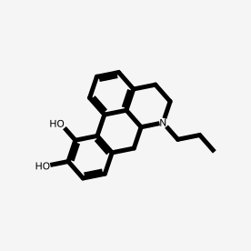 CCCN1CCc2cccc3c2C1Cc1ccc(O)c(O)c1-3